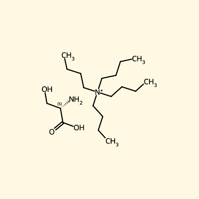 CCCC[N+](CCCC)(CCCC)CCCC.N[C@@H](CO)C(=O)O